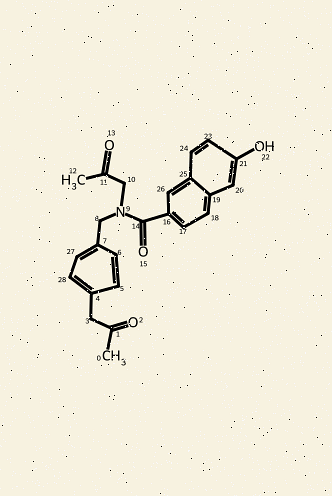 CC(=O)Cc1ccc(CN(CC(C)=O)C(=O)c2ccc3cc(O)ccc3c2)cc1